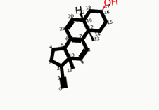 C#CC1CCC2C3=C(C=CC12C)[C@@]1(C)CC[C@@H](O)C[C@H]1C=C3